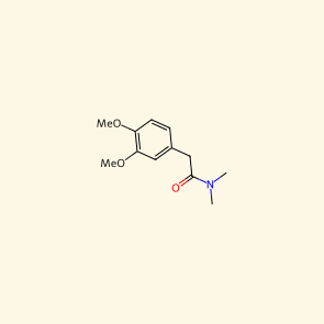 COc1ccc(CC(=O)N(C)C)cc1OC